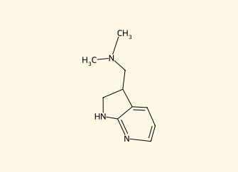 CN(C)CC1CNc2ncccc21